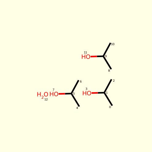 CC(C)O.CC(C)O.CC(C)O.O